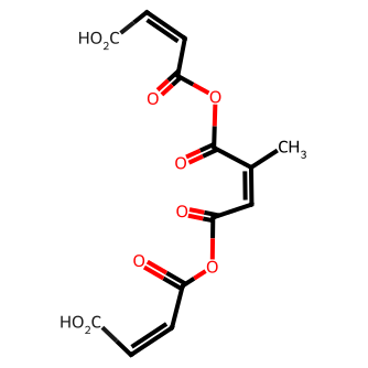 C/C(=C/C(=O)OC(=O)/C=C\C(=O)O)C(=O)OC(=O)/C=C\C(=O)O